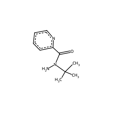 CC(C)(C)N(N)C(=O)c1ccccn1